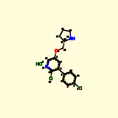 Cl.Clc1ccc(-c2cc(OC[C@@H]3CCCN3)cnc2Cl)cc1